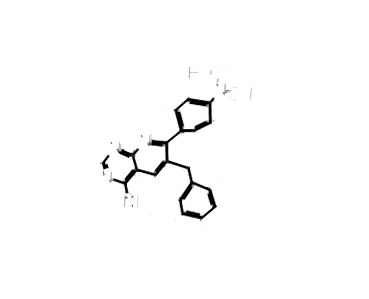 CN(C)c1ccc(-c2nc3ncnc(N)c3cc2Cc2ccccc2)cc1